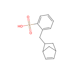 O=S(=O)(O)c1ccccc1CC1CC2C=CC1C2